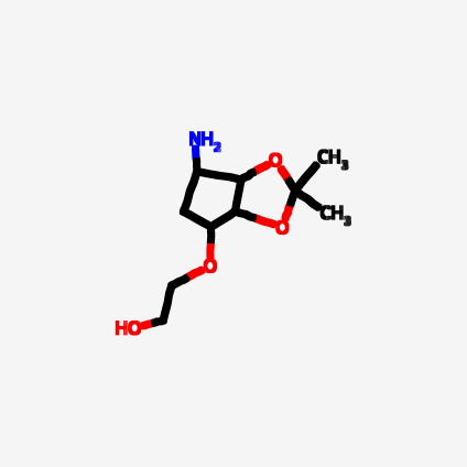 CC1(C)OC2C(N)CC(OCCO)C2O1